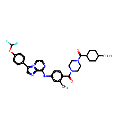 Cc1cc(Nc2nccn3c(-c4ccc(OC(F)F)cc4)cnc23)ccc1C(=O)N1CCN(C(=O)C2CCC(C(=O)O)CC2)CC1